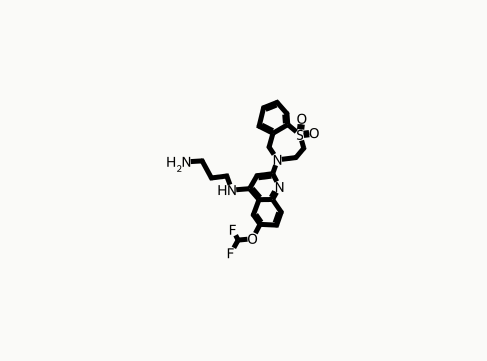 NCCCNc1cc(N2CCS(=O)(=O)c3ccccc3C2)nc2ccc(OC(F)F)cc12